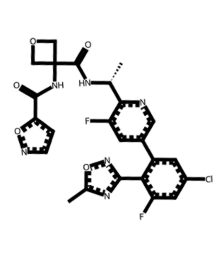 Cc1nc(-c2c(F)cc(Cl)cc2-c2cnc([C@@H](C)NC(=O)C3(NC(=O)c4ccno4)COC3)c(F)c2)no1